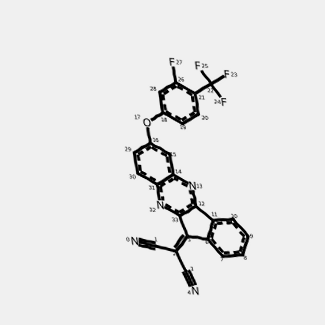 N#CC(C#N)=C1c2ccccc2-c2nc3cc(Oc4ccc(C(F)(F)F)c(F)c4)ccc3nc21